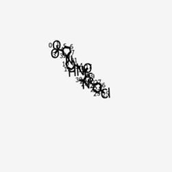 COC(=O)c1cccc(N2CCCC(CNC(=O)c3sc(-c4ccc(Cl)cc4)nc3C)C2)c1